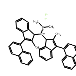 CC1=C(c2cccc3ccccc23)c2ccccc2[CH]1[Zr+2]([CH]1C(C)=C(c2cccc3ccccc23)c2ccccc21)[SiH](C)C.[F-].[F-]